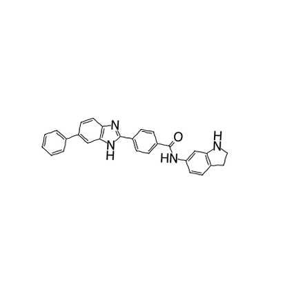 O=C(Nc1ccc2c(c1)NCC2)c1ccc(-c2nc3ccc(-c4ccccc4)cc3[nH]2)cc1